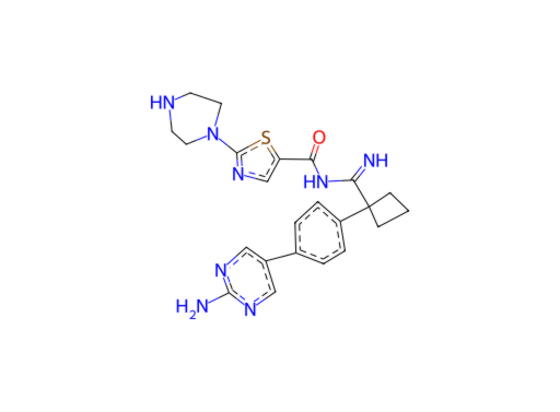 N=C(NC(=O)c1cnc(N2CCNCC2)s1)C1(c2ccc(-c3cnc(N)nc3)cc2)CCC1